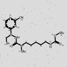 CC(C)CN(NC(=O)N(CCCCCNC(=O)OC(C)(C)C)C(C)(C)C)c1ccnc(C#N)n1